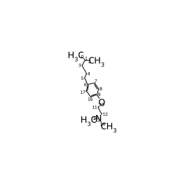 CC(C)CCCc1ccc(OCCN(C)C)cc1